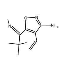 C=Cc1c(N)noc1/C(=N\C)C(C)(C)C